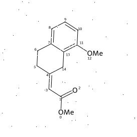 COC(=O)/C=C1/CCc2cccc(OC)c2C1